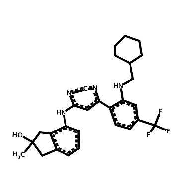 CC1(O)Cc2cccc(Nc3cc(-c4ccc(C(F)(F)F)cc4NCC4CCCCC4)ncn3)c2C1